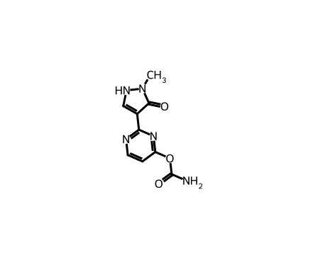 Cn1[nH]cc(-c2nccc(OC(N)=O)n2)c1=O